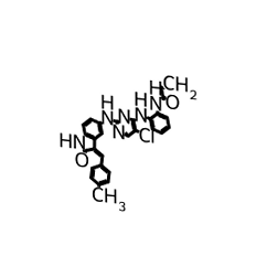 C=CC(=O)Nc1ccccc1Nc1nc(Nc2ccc3c(c2)C(=Cc2ccc(C)cc2)C(=O)N3)ncc1Cl